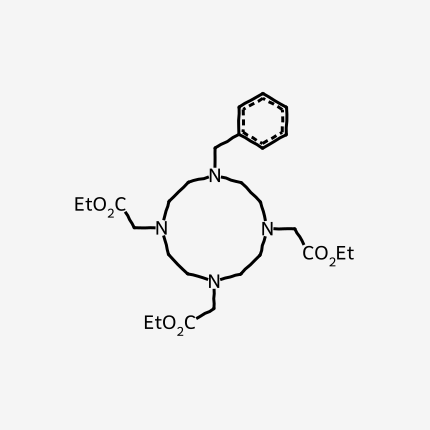 CCOC(=O)CN1CCN(CC(=O)OCC)CCN(Cc2ccccc2)CCN(CC(=O)OCC)CC1